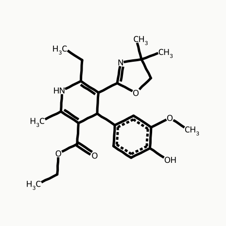 CCOC(=O)C1=C(C)NC(CC)=C(C2=NC(C)(C)CO2)C1c1ccc(O)c(OC)c1